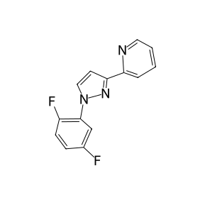 Fc1ccc(F)c(-n2ccc(-c3ccccn3)n2)c1